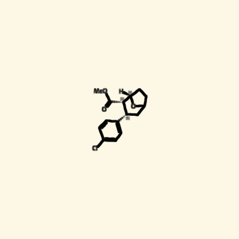 COC(=O)[C@@H]1[C@@H]2CCC(C[C@@H]1c1ccc(Cl)cc1)O2